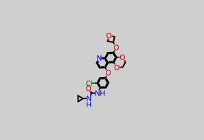 O=C(Nc1ccc(Oc2ccnc3cc(OC4COC4)c4c(c23)OCCO4)cc1Cl)NC1CC1